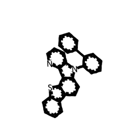 c1ccc(-c2ccccc2-n2c3cccnc3c3c4sc5ccccc5c4ccc32)cc1